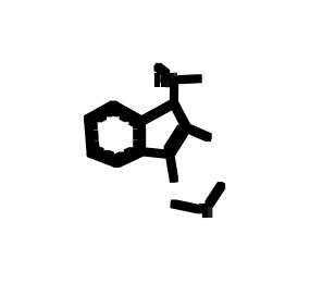 CC1=C(C)C([SiH](C)C)c2ccccc21.[CH3][Ti][CH3]